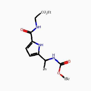 CCOC(=O)CNC(=O)c1ccc(C(NC(=O)OC(C)(C)C)C(C)C)[nH]1